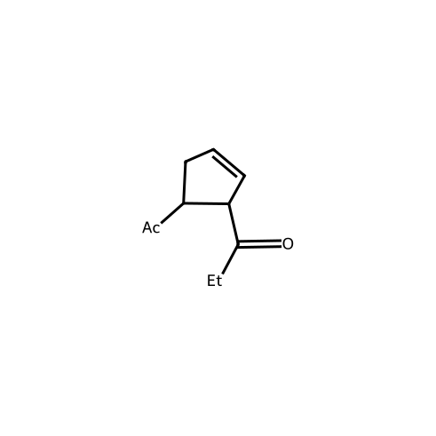 CCC(=O)C1C=CCC1C(C)=O